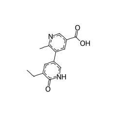 CCc1cc(-c2cc(C(=O)O)cnc2C)c[nH]c1=O